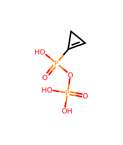 O=P(O)(O)OP(=O)(O)C1=CC1